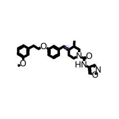 COc1cccc(CCOc2cccc(/C=C3\CCN(C(=O)Nc4cnoc4)CC3C)c2)c1